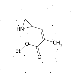 CCOC(=O)C(C)=CC1CN1